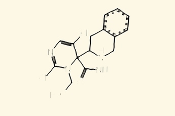 CCN1C(Cl)=NC=C(Cl)C1(C(N)=O)C1Cc2ccccc2CN1